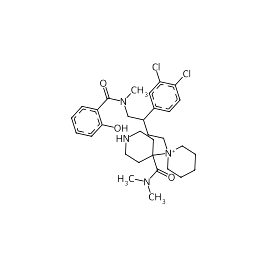 CN(C)C(=O)C1([N+]2(CCC(CN(C)C(=O)c3ccccc3O)c3ccc(Cl)c(Cl)c3)CCCCC2)CCNCC1